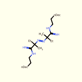 CCCCCCCCCCCCNC(=N)C(C)(CC)/N=N/C(C)(CC)C(=N)NCCCCCCCCCCCC